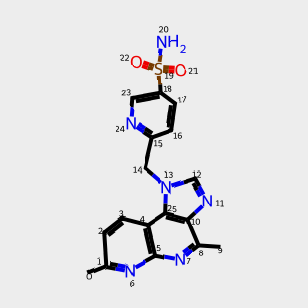 Cc1ccc2c(n1)nc(C)c1ncn(Cc3ccc(S(N)(=O)=O)cn3)c12